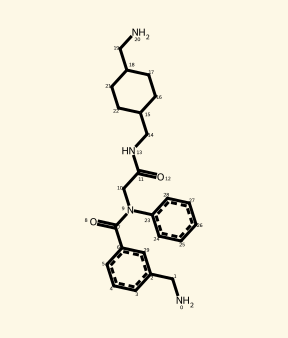 NCc1cccc(C(=O)N(CC(=O)NCC2CCC(CN)CC2)c2ccccc2)c1